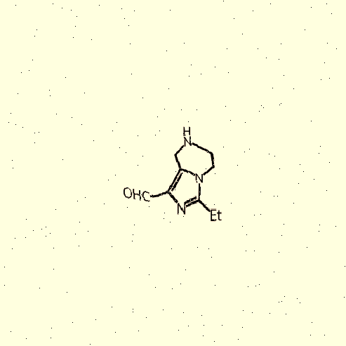 CCc1nc(C=O)c2n1CCNC2